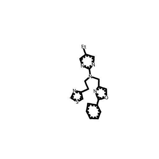 CCc1cnc(N(CCc2cs[c]n2)Cc2coc(-c3ccccc3)n2)nc1